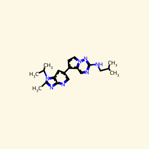 Cc1nc2ncc(-c3ccn4nc(NCC(C)C)ncc34)cc2n1C(C)C